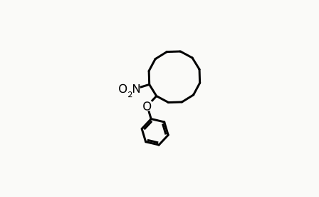 O=[N+]([O-])C1CCCCCCCCCCC1Oc1ccccc1